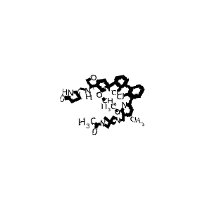 COc1nc(-c2cccc(-c3cccc(-c4cc5c(c(OC)n4)[C@@H](NC[C@@H]4CCC(=O)N4)CO5)c3Cl)c2Cl)cc(C)c1CN1CC2(C1)CN(C(C)=O)C2